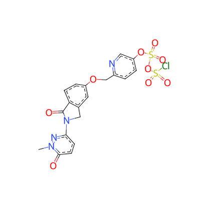 Cn1nc(N2Cc3cc(OCc4ccc(OS(=O)(=O)OS(=O)(=O)Cl)cn4)ccc3C2=O)ccc1=O